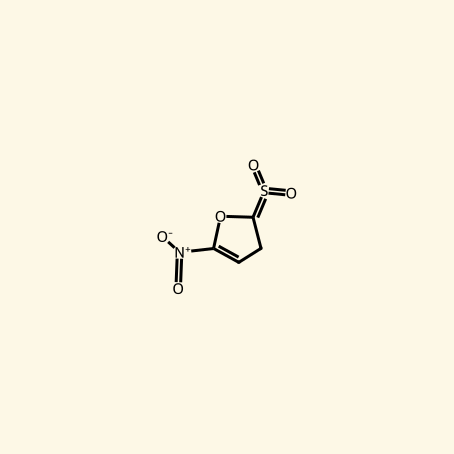 O=[N+]([O-])C1=CCC(=S(=O)=O)O1